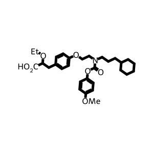 CCOC(Cc1ccc(OCCN(CCCC2CCCCC2)C(=O)Oc2ccc(OC)cc2)cc1)C(=O)O